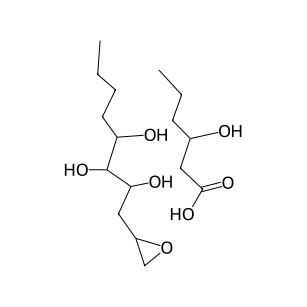 CCCC(O)CC(=O)O.CCCCC(O)C(O)C(O)CC1CO1